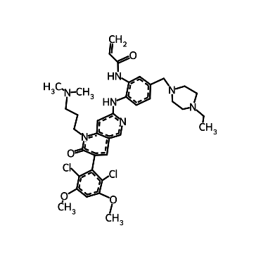 C=CC(=O)Nc1cc(CN2CCN(CC)CC2)ccc1Nc1cc2c(cn1)cc(-c1c(Cl)c(OC)cc(OC)c1Cl)c(=O)n2CCCN(C)C